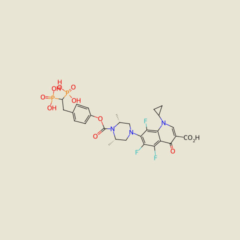 C[C@@H]1CN(c2c(F)c(F)c3c(=O)c(C(=O)O)cn(C4CC4)c3c2F)C[C@H](C)N1C(=O)Oc1ccc(CC(P(=O)(O)O)P(=O)(O)O)cc1